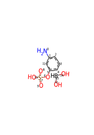 Nc1cccc(OS(=O)(=O)O)c1.OBO